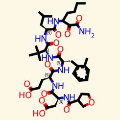 CCCCC(NC(=O)[C@H](CC(C)C)NC(=O)[C@@H](NC(=O)[C@H](Cc1ccccc1C)NC(=O)[C@H](CCC(=O)O)NC(=O)[C@H](CC(=O)O)NC(=O)C1CCOC1)C(C)(C)C)C(=O)C(N)=O